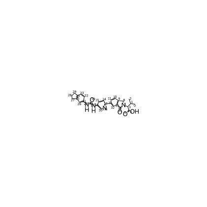 CC(C)C(C(=O)O)N1Cc2ccc(-c3ccc(NC(=O)Nc4ccc5c(c4)CCC5)cn3)cc2C1=O